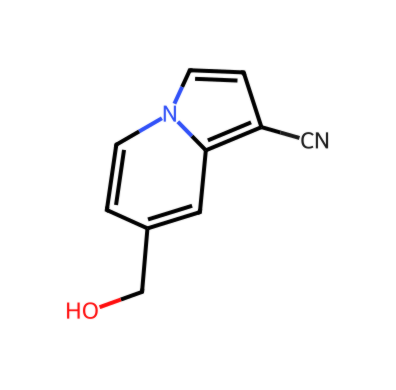 N#Cc1ccn2ccc(CO)cc12